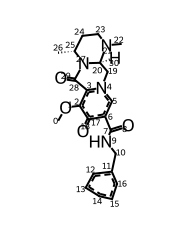 COc1c2n(cc(C(=O)NCc3ccccc3)c1=O)C[C@@H]1N(C)CC[C@@H](C)N1C2=O